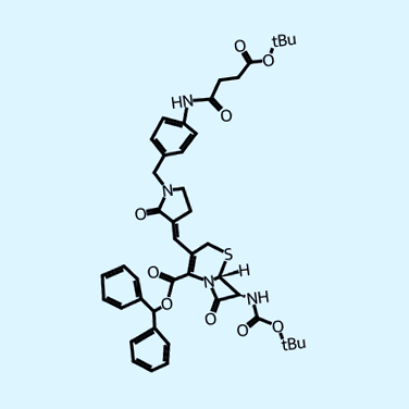 CC(C)(C)OC(=O)CCC(=O)Nc1ccc(CN2CCC(=CC3=C(C(=O)OC(c4ccccc4)c4ccccc4)N4C(=O)[C@@H](NC(=O)OC(C)(C)C)[C@H]4SC3)C2=O)cc1